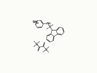 C=C(C(=C)[Si](C)(C)C)[Si](C)(C)C.[CH3][Ti]([CH3])([PH]c1ccccc1)[CH]1c2ccccc2-c2ccccc21.[SiH4]